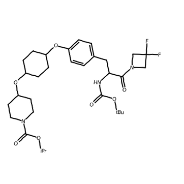 CC(C)OC(=O)N1CCC(OC2CCC(Oc3ccc(CC(NC(=O)OC(C)(C)C)C(=O)N4CC(F)(F)C4)cc3)CC2)CC1